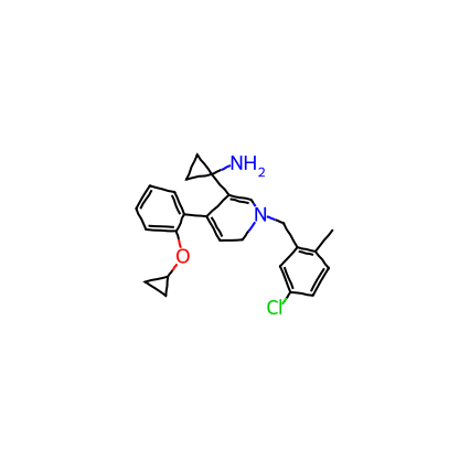 Cc1ccc(Cl)cc1CN1C=C(C2(N)CC2)C(c2ccccc2OC2CC2)=CC1